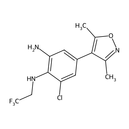 Cc1noc(C)c1-c1cc(N)c(NCC(F)(F)F)c(Cl)c1